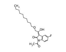 CCCCCCCCCCOCC(O)=C1C(=O)N(C(C)=O)c2ccc(F)cc21